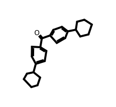 O=C(c1ccc(C2CCCCC2)cc1)c1ccc(C2CCCCC2)cc1